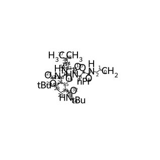 C=CCNC(=O)C(=O)C(CCC)NC(=O)C1C2C(CN1C(=O)C(NC(=O)OC(C)(C)C)C1CCCC(C(=O)NC(C)(C)C)C1)C2(C)C